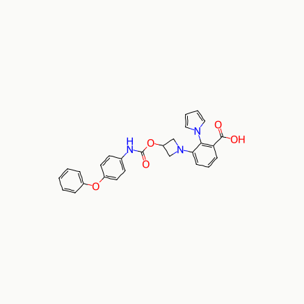 O=C(Nc1ccc(Oc2ccccc2)cc1)OC1CN(c2cccc(C(=O)O)c2-n2cccc2)C1